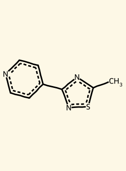 Cc1nc(-c2ccncc2)ns1